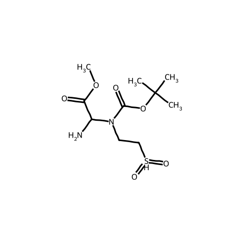 COC(=O)C(N)N(CC[SH](=O)=O)C(=O)OC(C)(C)C